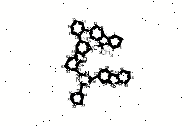 CC1(C)c2ccccc2-c2ccc(-c3ccccc3-c3ccc4oc5c(-c6nc(-c7ccccc7)nc(-c7ccc8c(c7)sc7ccccc78)n6)cccc5c4c3)cc21